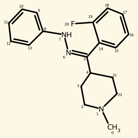 CN1CCC(C(=NNc2ccccc2)c2ccccc2F)CC1